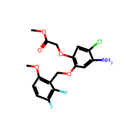 COC(=O)COc1cc(Cl)c(N)cc1OCc1c(OC)ccc(F)c1F